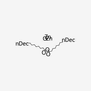 CCCCCCCCCCCCCCCCCC(=O)OC(=O)CCCCCCCCCCCCCCCCC.[O]=[Zn].[Zn]